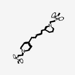 CS(=O)(=O)CCN1CCC(CC[CH]CCC2CCCN(CCS(C)(=O)=O)C2)CC1